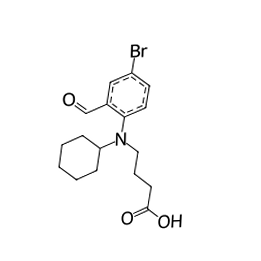 O=Cc1cc(Br)ccc1N(CCCC(=O)O)C1CCCCC1